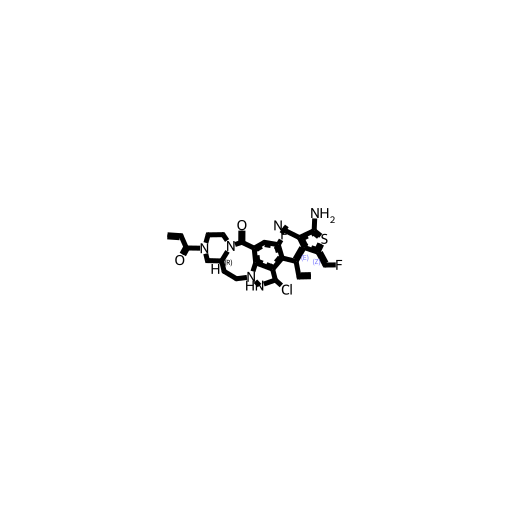 C=CC(=O)N1CCN2C(=O)c3cc(F)c(/C(C=C)=c4\c(C#N)c(N)s\c4=C/F)c4c3N(CC[C@@H]2C1)NC4Cl